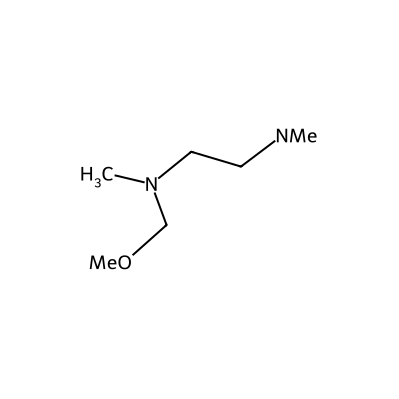 CNCCN(C)COC